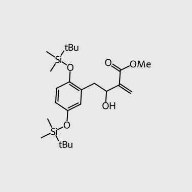 C=C(C(=O)OC)C(O)Cc1cc(O[Si](C)(C)C(C)(C)C)ccc1O[Si](C)(C)C(C)(C)C